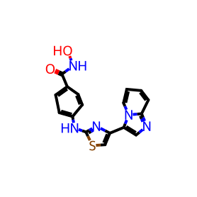 O=C(NO)c1ccc(Nc2nc(-c3cnc4ccccn34)cs2)cc1